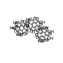 C=COCCCCOC(=O)c1c(C(=O)O)c(C(=O)O)c(C(=O)O)c(C(=O)OC(=O)c2c(C(=O)O)c(C(=O)O)c(C(=O)O)c(C(=O)O)c2C(=O)O)c1C(=O)OC(=O)c1c(C(=O)O)c(C(=O)O)c(C(=O)O)c(C(=O)O)c1C(=O)O